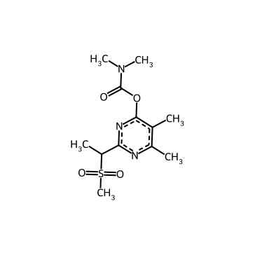 Cc1nc(C(C)S(C)(=O)=O)nc(OC(=O)N(C)C)c1C